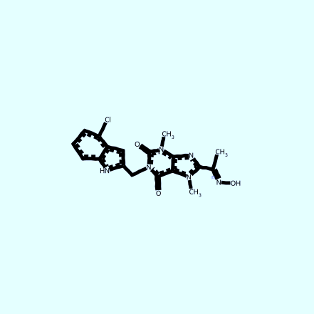 C/C(=N\O)c1nc2c(c(=O)n(Cc3cc4c(Cl)cccc4[nH]3)c(=O)n2C)n1C